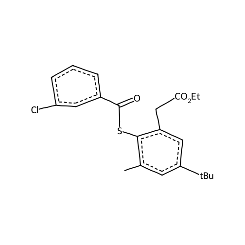 CCOC(=O)Cc1cc(C(C)(C)C)cc(C)c1SC(=O)c1cccc(Cl)c1